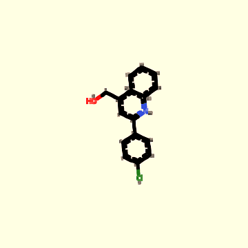 OCc1cc(-c2ccc(Cl)cc2)nc2ccccc12